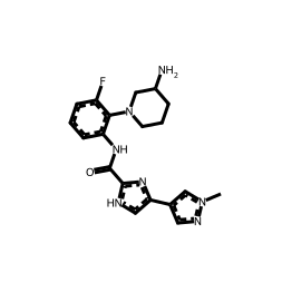 Cn1cc(-c2c[nH]c(C(=O)Nc3cccc(F)c3N3CCCC(N)C3)n2)cn1